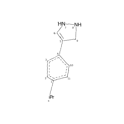 CC(C)c1ccc(C2=CNNC2)cc1